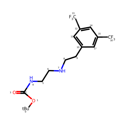 CC(C)(C)OC(=O)NCCNCCc1cc(C(F)(F)F)cc(C(F)(F)F)c1